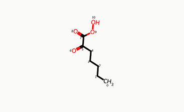 CCCCCC(=O)C(=O)OO